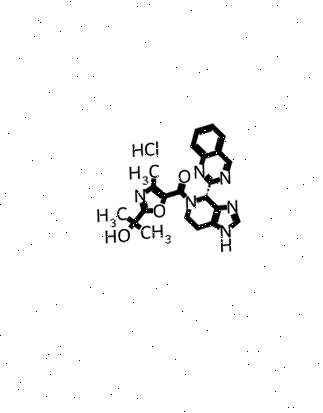 Cc1nc(C(C)(C)O)oc1C(=O)N1CCc2[nH]cnc2[C@H]1c1ncc2ccccc2n1.Cl